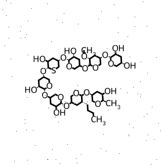 CCCC[C@@H]1CC(O[C@H]2OCC(O[C@H]3OC[C@@H](O[C@H]4SC[C@@H](O[C@H]5OCC(OC6OC[C@@H](O[C@H]7OC[C@@H](O)CC7O)C[C@H]6OC)C[C@H]5O)CC4O)C[C@H]3O)CC2O)COC1O[C@@H]1CO[C@H](C)C(O)C1